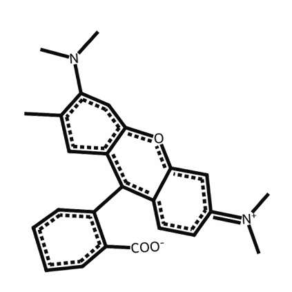 Cc1cc2c(-c3ccccc3C(=O)[O-])c3ccc(=[N+](C)C)cc-3oc2cc1N(C)C